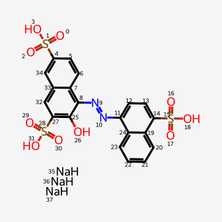 O=S(=O)(O)c1ccc2c(/N=N/c3ccc(S(=O)(=O)O)c4ccccc34)c(O)c(S(=O)(=O)O)cc2c1.[NaH].[NaH].[NaH]